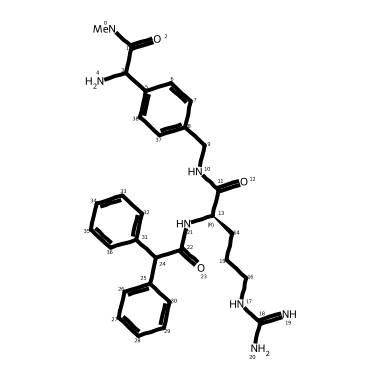 CNC(=O)C(N)c1ccc(CNC(=O)[C@@H](CCCNC(=N)N)NC(=O)C(c2ccccc2)c2ccccc2)cc1